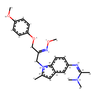 CON=C(COc1ccc(OC)cc1)Cn1c(C)cc2cc(N=C(C)N(C)C)ccc21